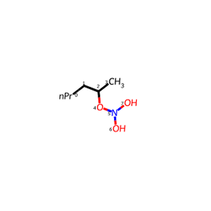 CCCCC(C)ON(O)O